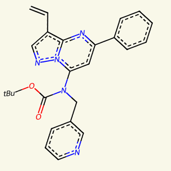 C=Cc1cnn2c(N(Cc3cccnc3)C(=O)OC(C)(C)C)cc(-c3ccccc3)nc12